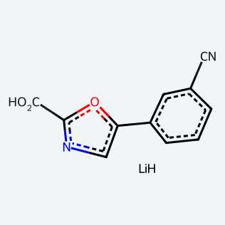 N#Cc1cccc(-c2cnc(C(=O)O)o2)c1.[LiH]